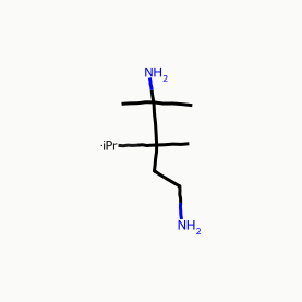 C[C](C)C(C)(CCN)C(C)(C)N